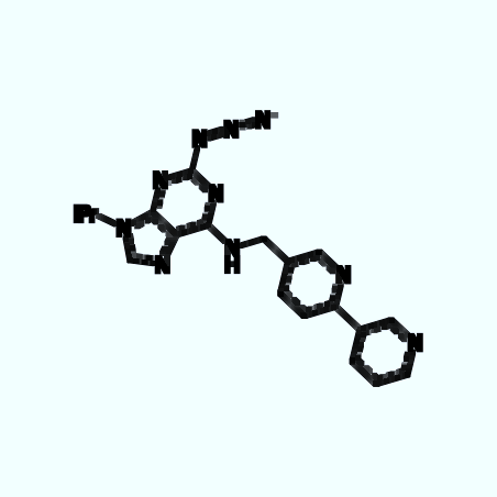 CC(C)n1cnc2c(NCc3ccc(-c4cccnc4)nc3)nc(N=[N+]=[N-])nc21